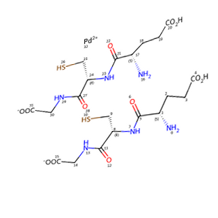 N[C@@H](CCC(=O)O)C(=O)N[C@@H](CS)C(=O)NCC(=O)[O-].N[C@@H](CCC(=O)O)C(=O)N[C@@H](CS)C(=O)NCC(=O)[O-].[Pd+2]